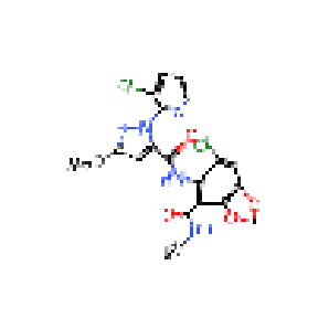 COc1cc(C(=O)Nc2c(Cl)cc3c(c2C(=O)NC(C)C)OCO3)n(-c2ncccc2Cl)n1